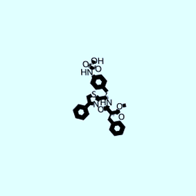 COC(=O)[C@@H](Cc1ccccc1)C(=O)N[C@@H](Cc1ccc(NS(=O)(=O)O)cc1)C1=NC(c2ccccc2)CS1